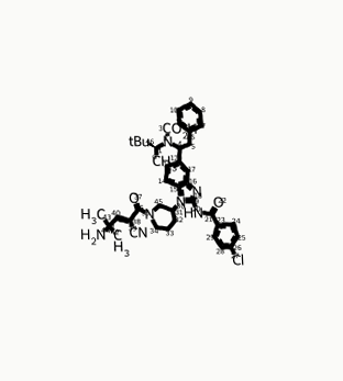 C[C@H](N(C(=O)O)C(Cc1ccccc1)c1ccc2c(c1)nc(NC(=O)c1ccc(Cl)cc1)n2C1CCCN(C(=O)/C(C#N)=C/C(C)(C)N)C1)C(C)(C)C